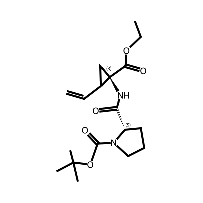 C=CC1C[C@]1(NC(=O)[C@@H]1CCCN1C(=O)OC(C)(C)C)C(=O)OCC